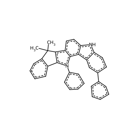 CC1(C)c2ccccc2-c2c1c1ccc3[nH]c4ccc(-c5ccccc5)cc4c3c1n2-c1ccccc1